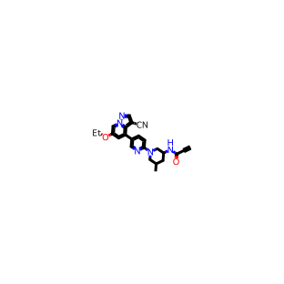 C#CC(=O)NC1CC(C)CN(c2ccc(-c3cc(OCC)cn4ncc(C#N)c34)cn2)C1